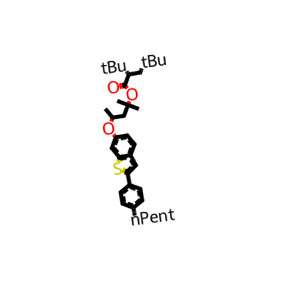 CCCCCc1ccc(-c2cc3ccc(OC(C)CC(C)(C)OC(=O)C(CC(C)(C)C)C(C)(C)C)cc3s2)cc1